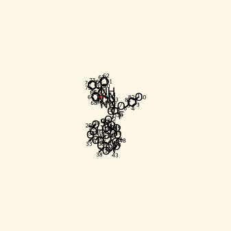 COc1ccc(CO[C@@H]2[C@H](F)[C@@H](COP(O)(=S)OP(=O)(O)O[C@@H]3O[C@H]([C@@H](COC(C)=O)OC(C)=O)[C@@H](OC(C)=O)[C@H](OC(C)=O)[C@@H]3OC(C)=O)O[C@H]2n2cnc3c(NC(c4ccccc4)(c4ccccc4)c4ccccc4)ncnc32)cc1